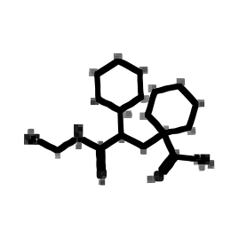 N#CCNC(=O)C(CC1(C(N)=O)CCCCC1)C1CCCCC1